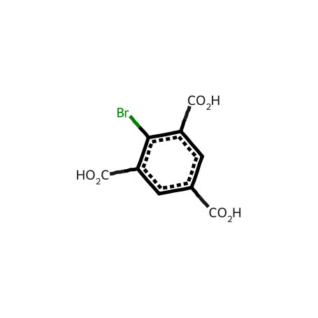 O=C(O)c1cc(C(=O)O)c(Br)c(C(=O)O)c1